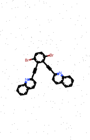 Brc1ccc(Br)c(C#Cc2ccc3ccccc3n2)c1C#Cc1ccc2ccccc2n1